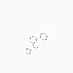 O=[N+]([O-])c1cccc(-c2ccnc3c(-c4ccsc4)cnn23)c1